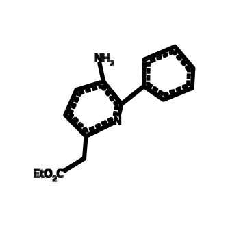 CCOC(=O)Cc1ccc(N)c(-c2ccccc2)n1